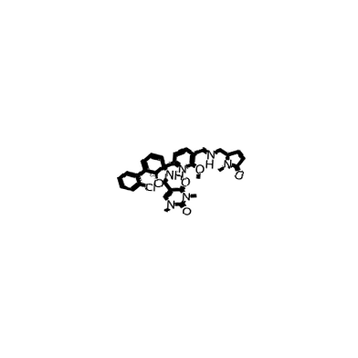 COc1nc(C2(NC(=O)c3cn(C)c(=O)n(C)c3=O)C=CC=C(c3ccccc3Cl)[C@@H]2C)ccc1CNCC1CCC(=O)N1C